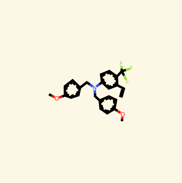 C=Cc1cc(N(Cc2ccc(OC)cc2)Cc2ccc(OC)cc2)ccc1C(F)(F)F